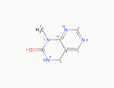 CN1C(=O)NCc2cncnc21